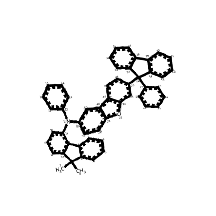 CC1(C)c2ccccc2-c2c(N(c3ccccc3)c3ccc4oc5cc(C6(c7ccccc7)c7ccccc7-c7ccccc76)ccc5c4c3)cccc21